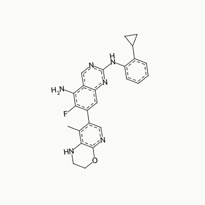 Cc1c(-c2cc3nc(Nc4ccccc4C4CC4)ncc3c(N)c2F)cnc2c1NCCO2